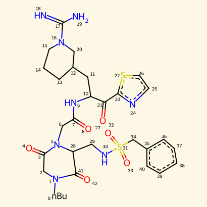 CCCCN1CC(=O)N(CC(=O)NC(CC2CCCN(C(=N)N)C2)C(=O)c2nccs2)C(CNS(=O)(=O)Cc2ccccc2)C1=O